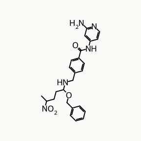 CC(CCC(NCc1ccc(C(=O)Nc2ccnc(N)c2)cc1)OCc1ccccc1)[N+](=O)[O-]